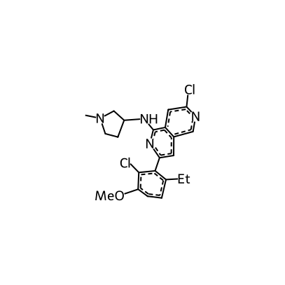 CCc1ccc(OC)c(Cl)c1-c1cc2cnc(Cl)cc2c(NC2CCN(C)C2)n1